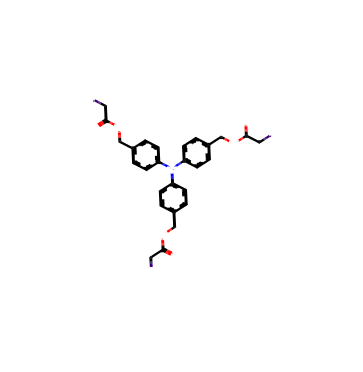 O=C(CI)OCc1ccc(N(c2ccc(COC(=O)CI)cc2)c2ccc(COC(O)CI)cc2)cc1